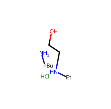 CCCCN.CCNCCO.Cl